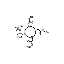 CC(C)(C)OC(=O)CN1CCN(CC(=O)OC(C)(C)C)CCN([C@@H]2CNC[C@H]2O[Si](C)(C)C(C)(C)C)CCN(CC(=O)OC(C)(C)C)CC1